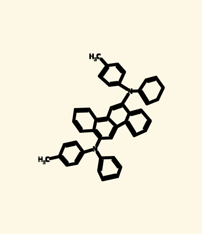 Cc1ccc(N(C2=CCCC=C2)c2cc3c4ccccc4c(N(c4ccccc4)c4ccc(C)cc4)cc3c3ccccc23)cc1